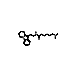 CN(C)CCCCCC(=O)NCCc1c2n(c3ccccc13)CCCC2